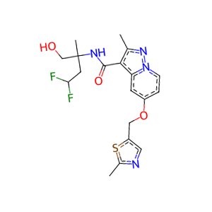 Cc1ncc(COc2ccn3nc(C)c(C(=O)NC(C)(CO)CC(F)F)c3c2)s1